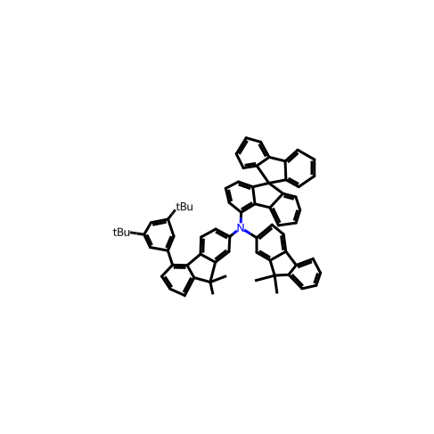 CC(C)(C)c1cc(-c2cccc3c2-c2ccc(N(c4ccc5c(c4)C(C)(C)c4ccccc4-5)c4cccc5c4-c4ccccc4C54c5ccccc5-c5ccccc54)cc2C3(C)C)cc(C(C)(C)C)c1